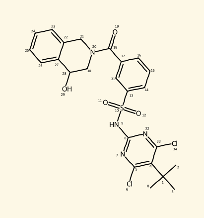 CC(C)(C)c1c(Cl)nc(NS(=O)(=O)c2cccc(C(=O)N3Cc4ccccc4C(O)C3)c2)nc1Cl